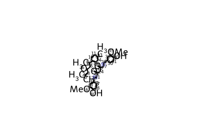 CC(C)=CC(=O)C[C@H](C)c1ccc(C)cc1.COc1cc(/C=C/C(=O)CC(=O)/C=C/c2ccc(O)c(OC)c2)ccc1O